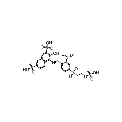 O=[N+]([O-])c1cc(S(=O)(=O)CCOS(=O)(=O)O)ccc1N=Nc1c(O)c(S(=O)(=O)O)cc2cc(S(=O)(=O)O)ccc12